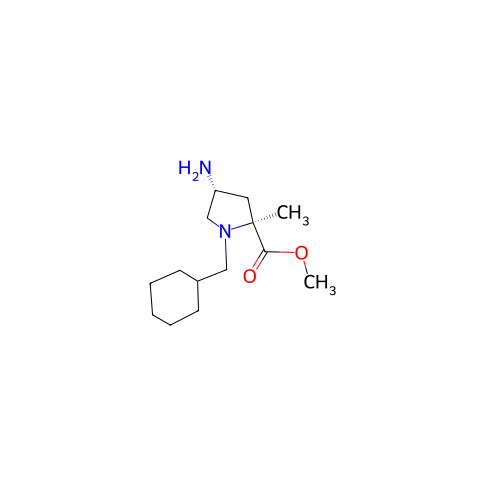 COC(=O)[C@]1(C)C[C@@H](N)CN1CC1CCCCC1